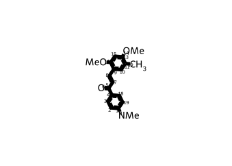 CNc1ccc(C(=O)C=Cc2cc(C)c(OC)cc2OC)cc1